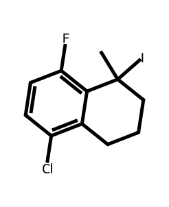 CC1(I)CCCc2c(Cl)ccc(F)c21